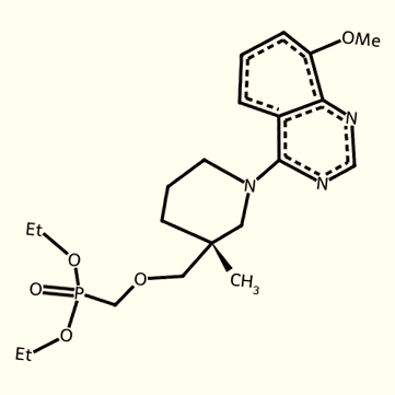 CCOP(=O)(COC[C@]1(C)CCCN(c2ncnc3c(OC)cccc23)C1)OCC